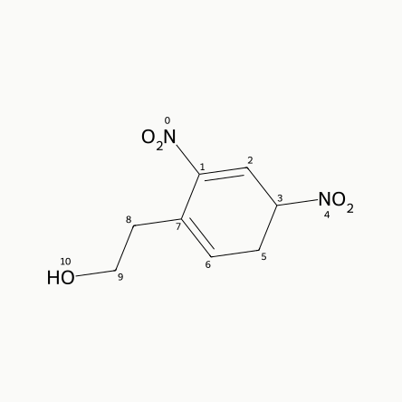 O=[N+]([O-])C1=CC([N+](=O)[O-])CC=C1CCO